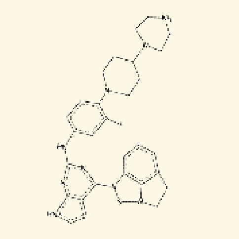 Fc1cc(Nc2nc(N3SN4CCc5cccc3c54)c3cc[nH]c3n2)ccc1N1CCC(N2CCNCC2)CC1